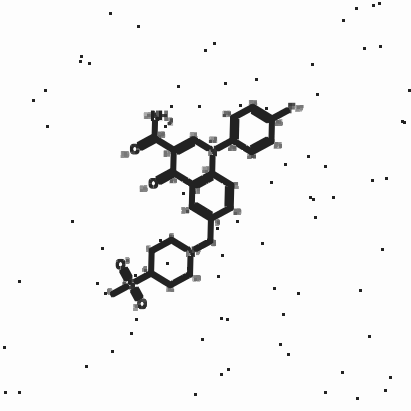 CS(=O)(=O)C1CCN(Cc2ccc3c(c2)c(=O)c(C(N)=O)cn3-c2ccc(F)cc2)CC1